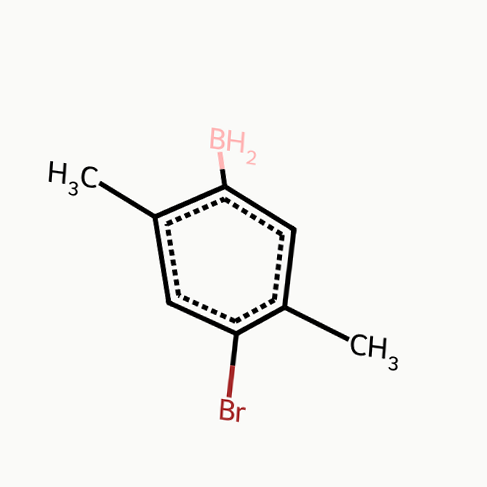 Bc1cc(C)c(Br)cc1C